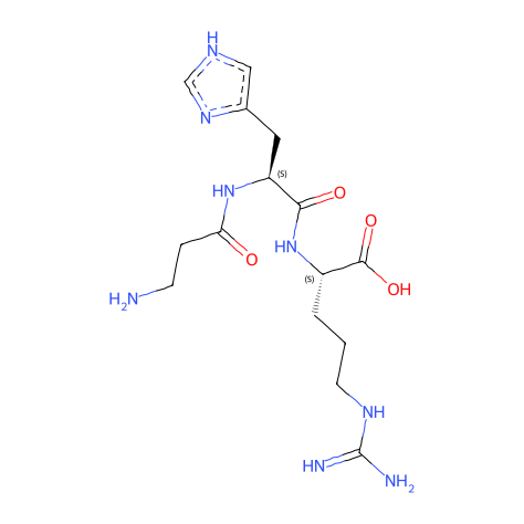 N=C(N)NCCC[C@H](NC(=O)[C@H](Cc1c[nH]cn1)NC(=O)CCN)C(=O)O